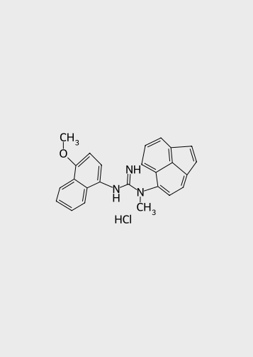 COc1ccc(NC(=N)N(C)c2ccc3c4c(cccc24)C=C3)c2ccccc12.Cl